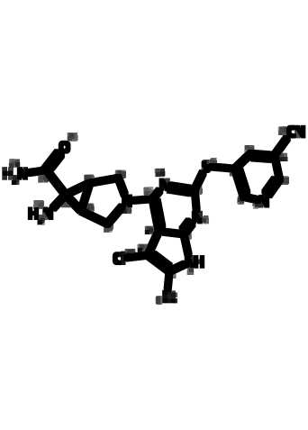 CCc1[nH]c2nc(Sc3cncc(C#N)c3)nc(N3CC4C(C3)C4(N)C(N)=O)c2c1Cl